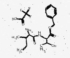 CCC(C)C(N)C(=O)NC(C(=O)OCc1ccccc1)C(C)O.O=C(O)C(F)(F)F